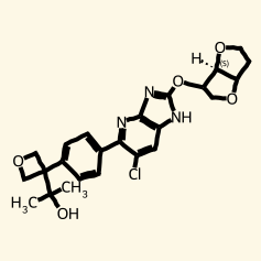 CC(C)(O)C1(c2ccc(-c3nc4nc(OC5COC6CCO[C@@H]65)[nH]c4cc3Cl)cc2)COC1